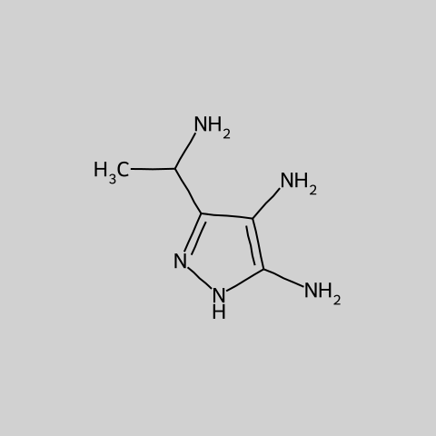 CC(N)c1n[nH]c(N)c1N